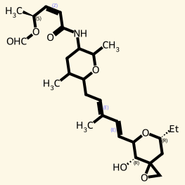 CC[C@@H]1CC2(CO2)[C@H](O)C(/C=C/C(C)=C/CC2OC(C)C(NC(=O)/C=C\[C@H](C)OC=O)CC2C)O1